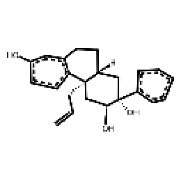 C=CC[C@@]12C[C@H](O)[C@](O)(c3ccccc3)C[C@H]1CCc1cc(O)ccc12